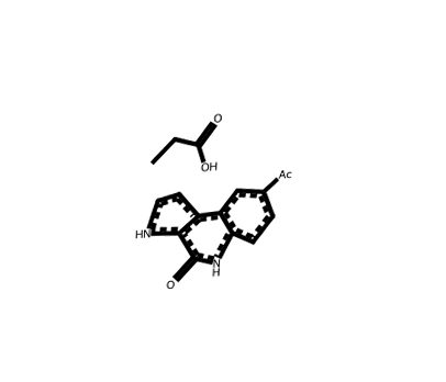 CC(=O)c1ccc2[nH]c(=O)c3[nH]ccc3c2c1.CCC(=O)O